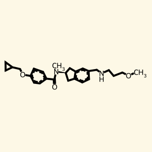 COCCCNCc1ccc2c(c1)C[C@H](N(C)C(=O)c1ccc(OCC3CC3)cc1)C2